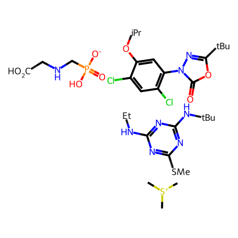 CC(C)Oc1cc(-n2nc(C(C)(C)C)oc2=O)c(Cl)cc1Cl.CCNc1nc(NC(C)(C)C)nc(SC)n1.C[S+](C)C.O=C(O)CNCP(=O)([O-])O